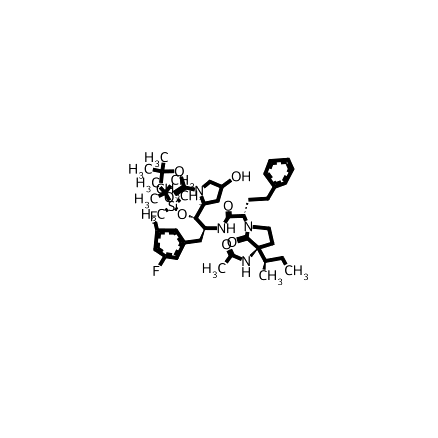 CC[C@@H](C)[C@@]1(NC(C)=O)CCN([C@@H](CCc2ccccc2)C(=O)N[C@@H](Cc2cc(F)cc(F)c2)[C@H](O[Si](C)(C)C(C)(C)C)C2CC(O)CN2C(=O)OC(C)(C)C)C1=O